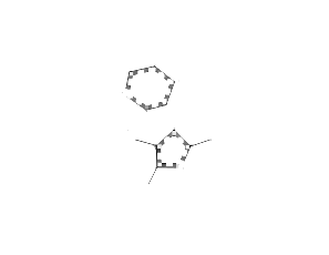 Cc1cc(N)c(O)[nH]1.c1ccncc1